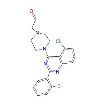 O=CCN1CCN(c2nc(-c3ccccc3Cl)nc3cccc(Cl)c23)CC1